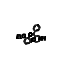 CCOc1cccc(F)c1OC(c1ccccc1)C1CNCCO1